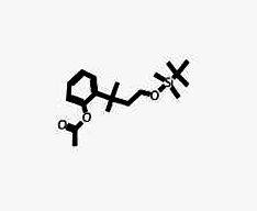 CC(=O)Oc1ccccc1C(C)(C)CCO[Si](C)(C)C(C)(C)C